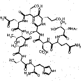 CC(=O)N[C@H](C(=O)N[C@@H](CCC(N)=O)C(=O)N[C@@H](CC(=O)O)C(=O)N[C@@H](C)C(=O)N[C@@H](CCC(=O)O)C(=O)N[C@@H](CC(=O)O)C(=O)N[C@@H](CC(N)=O)C(=O)N[C@H](C(=O)N[C@@H](C)C(=O)N[C@@H](CO)C(=O)N[C@@H](Cc1c[nH]cn1)C(N)=O)[C@@H](C)O)[C@@H](C)O